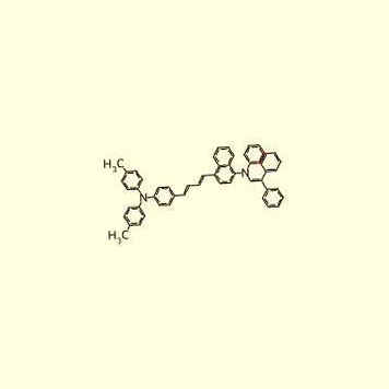 Cc1ccc(N(c2ccc(C)cc2)c2ccc(/C=C/C=C/c3ccc(N(/C=C(\C4=CC=CCC4)c4ccccc4)c4c#cccc4)c4ccccc34)cc2)cc1